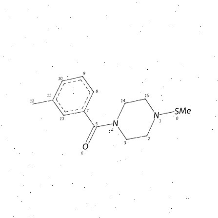 CSN1CCN(C(=O)c2cccc(C)c2)CC1